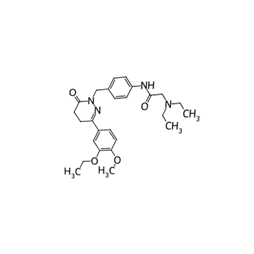 CCOc1cc(C2=NN(Cc3ccc(NC(=O)CN(CC)CC)cc3)C(=O)CC2)ccc1OC